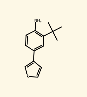 CC(C)(C)c1cc(-c2ccsc2)ccc1N